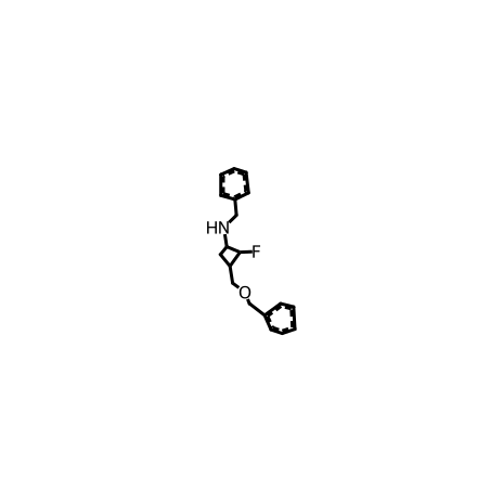 FC1C(COCc2ccccc2)CC1NCc1ccccc1